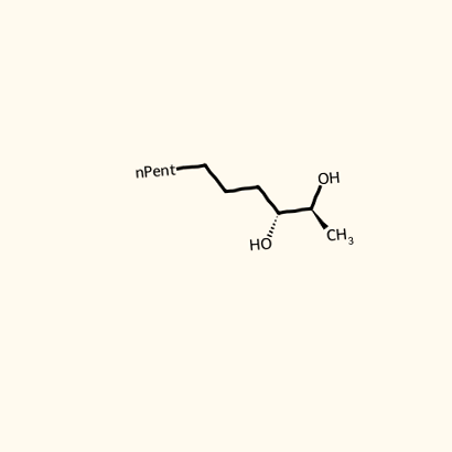 CCCCCCCC[C@@H](O)[C@H](C)O